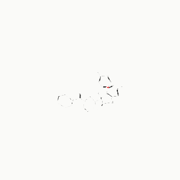 O=C(N1CCOCC1)N1CCCC(C2(Cc3cccc(Cl)c3)C(=O)Nc3cc(Cl)ccc32)C1